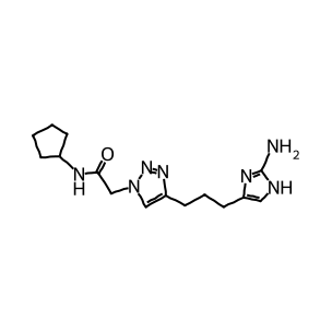 Nc1nc(CCCc2cn(CC(=O)NC3CCCC3)nn2)c[nH]1